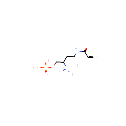 C=CC(=O)N(C)CCC(COP(=O)(O)O)[N+](C)(C)C